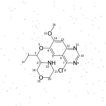 CCC(Oc1cc2c(Cl)ncnc2cc1OC)C1COCCN1